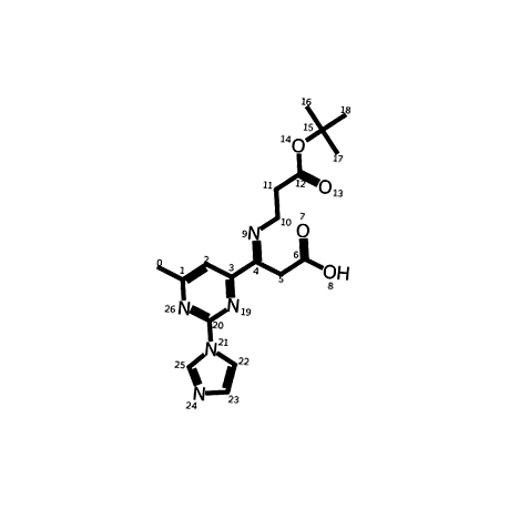 Cc1cc(C(CC(=O)O)=NCCC(=O)OC(C)(C)C)nc(-n2ccnc2)n1